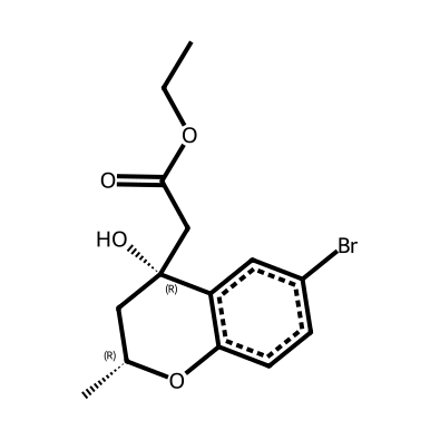 CCOC(=O)C[C@]1(O)C[C@@H](C)Oc2ccc(Br)cc21